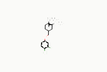 CNC12CCC(COc3ccc(Cl)c(F)c3)(CC1)CC2OC